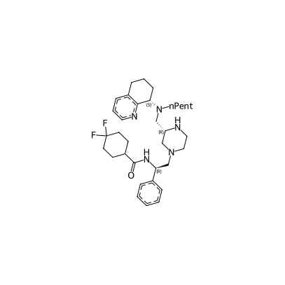 CCCCCN(C[C@H]1CN(C[C@H](NC(=O)C2CCC(F)(F)CC2)c2ccccc2)CCN1)[C@H]1CCCc2cccnc21